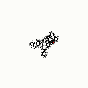 CC1(C)c2ccccc2-c2ccc(N(C3=CCC=C(c4ccccc4)C=C3)c3cccc4c3-c3ccccc3C43c4ccccc4C4(c5ccccc5-c5ccccc54)c4ccccc43)cc21